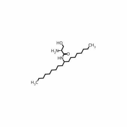 CCCCCCCCCC(CCCCCCCC)NC(=O)[C@@H](N)CO